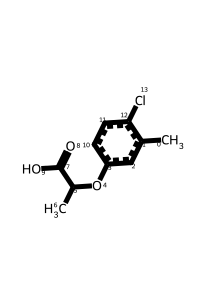 Cc1cc(OC(C)C(=O)O)ccc1Cl